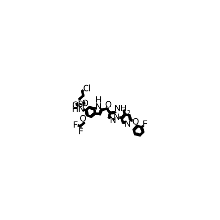 Cc1cc(Oc2ccccc2F)ncc1-n1ncc(C(=O)c2cc3cc(OCC(F)F)c(NS(=O)(=O)CCCCl)cc3[nH]2)c1N